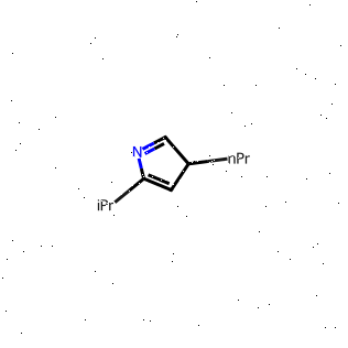 CCCC1C=NC(C(C)C)=C1